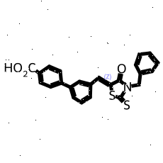 O=C(O)c1ccc(-c2cccc(/C=C3\SC(=S)N(Cc4ccccc4)C3=O)c2)cc1